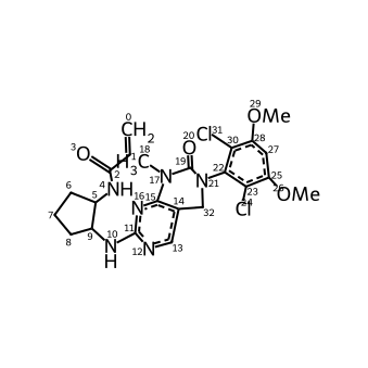 C=CC(=O)NC1CCCC1Nc1ncc2c(n1)N(C)C(=O)N(c1c(Cl)c(OC)cc(OC)c1Cl)C2